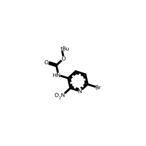 CC(C)(C)OC(=O)Nc1ccc(Br)nc1[N+](=O)[O-]